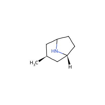 C[C@H]1CC2CC[C@H](C1)N2